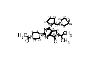 CC(=O)N1CCN(c2nc3c(c(N4CCCC4CN4CCOCC4)n2)CN(C(C)C)C3=O)CC1